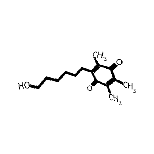 CC1=C(C)C(=O)C(CCCCCCO)=C(C)C1=O